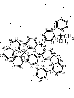 CC1(C)c2ccccc2-c2ccc(N(c3ccc4c(c3)C(c3ccccc3)(c3ccccc3)c3c-4ccc4ccccc34)c3ccc4c(c3)oc3cccc(-c5ccccc5)c34)cc21